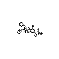 O=C(NO)c1cc(F)c(Sc2nnc(CN3CCCC3)n2Cc2ccccc2)c(F)c1